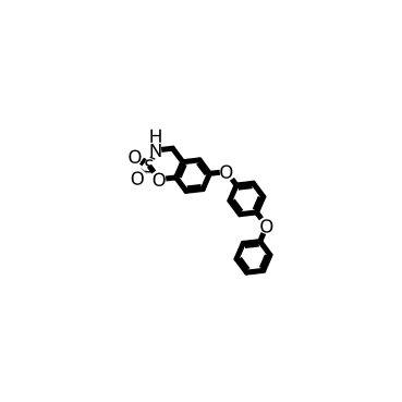 O=S1(=O)NCc2cc(Oc3ccc(Oc4ccccc4)cc3)ccc2O1